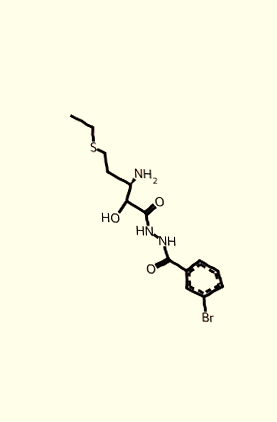 CCSCC[C@@H](N)C(O)C(=O)NNC(=O)c1cccc(Br)c1